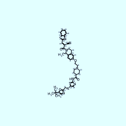 CC1c2ccc(OCCN3CCC(C(=O)Nc4ncc(SCc5ncc(C(C)(C)C)o5)s4)CC3)cc2CCN1C(=O)/C(C#N)=C/c1nc2ccccc2s1